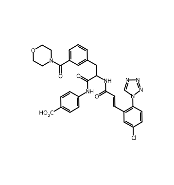 O=C(C=Cc1cc(Cl)ccc1-n1cnnn1)NC(Cc1cccc(C(=O)N2CCOCC2)c1)C(=O)Nc1ccc(C(=O)O)cc1